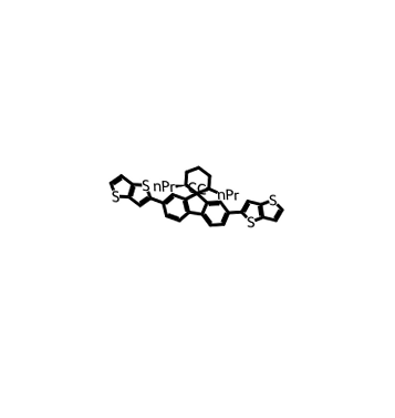 CCCC12CCC[C@](CCC)(CC1)C21c2cc(-c3cc4sccc4s3)ccc2-c2ccc(-c3cc4sccc4s3)cc21